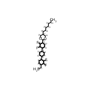 BCc1ccc(-c2ccc(-c3ccc(C4OCC(CCCCCCC)CO4)c(F)c3F)cc2)c(F)c1F